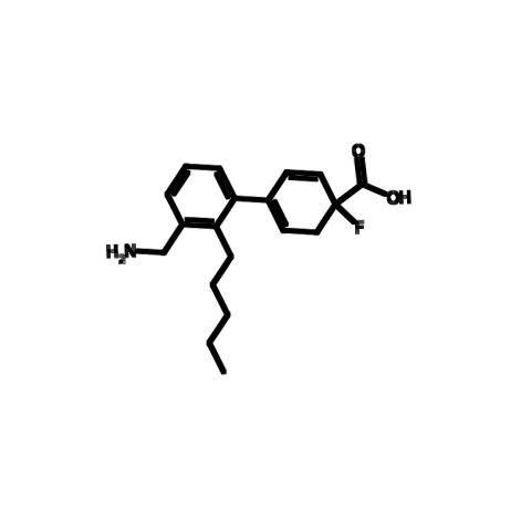 CCCCCc1c(CN)cccc1C1=CCC(F)(C(=O)O)C=C1